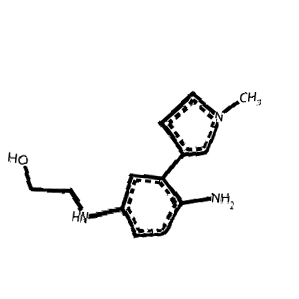 Cn1ccc(-c2cc(NCCO)ccc2N)c1